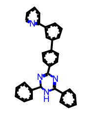 c1ccc(C2=NC(c3ccc(-c4cccc(-c5ccccn5)c4)cc3)=NC(c3ccccc3)N2)cc1